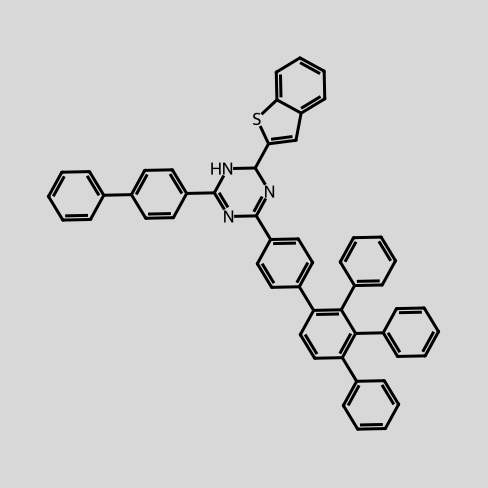 c1ccc(-c2ccc(C3=NC(c4ccc(-c5ccc(-c6ccccc6)c(-c6ccccc6)c5-c5ccccc5)cc4)=NC(c4cc5ccccc5s4)N3)cc2)cc1